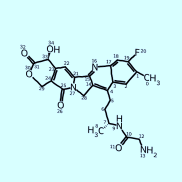 Cc1cc2c(CC[C@@H](C)NC(=O)CN)c3c(nc2cc1F)-c1cc2c(c(=O)n1C3)COC(=O)[C@H]2O